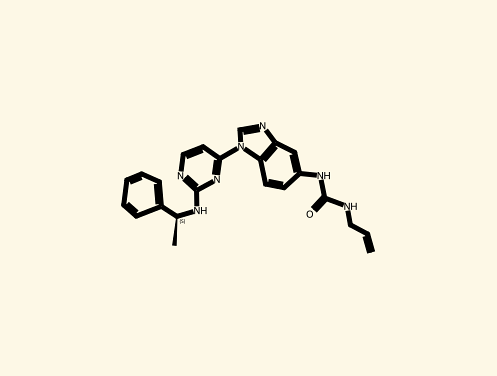 C=CCNC(=O)Nc1ccc2c(c1)ncn2-c1ccnc(N[C@@H](C)c2ccccc2)n1